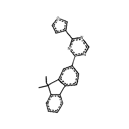 CC1(C)c2ccccc2-c2ccc(-c3ncnc(-c4ccoc4)n3)cc21